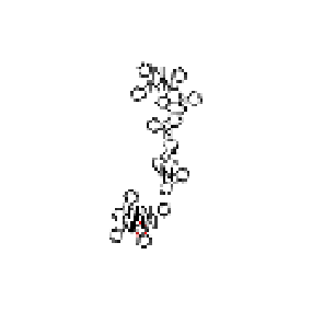 c1ccc(-c2nc(-c3cccc(-c4ccc5c(c4)c4ccccc4n5-c4nccc5c4sc4ccc(-n6c7ccccc7c7c(-c8cccc9c8c8sc%10ccccc%10c8c8c%10ccccc%10n(-c%10nc(-c%11ccccc%11)c%11ccccc%11n%10)c98)cccc76)cc45)c3)nc(-n3c4ccccc4c4ccc5c6ccccc6n(-c6ccccc6)c5c43)n2)cc1